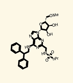 CCCS(=O)(=O)NCc1nc(NCC(c2ccccc2)c2ccccc2)c2ncn([C@@H]3O[C@H](COC)[C@@H](O)[C@H]3O)c2n1